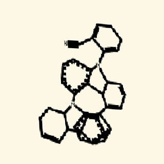 N#CC1=CCCC=C1N1c2cccc(N3C4=CC=CCC4C4C=CCCC43)c2C2C(c3ccccc3)=CC=CC21